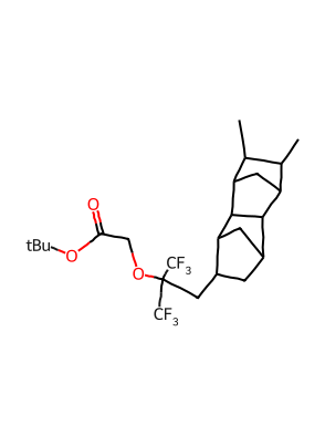 CC1C(C)C2CC1C1C3CC(CC(OCC(=O)OC(C)(C)C)(C(F)(F)F)C(F)(F)F)C(C3)C21